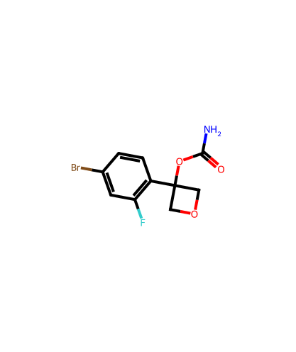 NC(=O)OC1(c2ccc(Br)cc2F)COC1